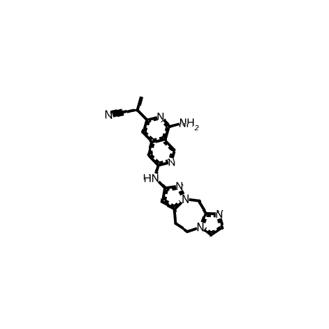 CC(C#N)c1cc2cc(Nc3cc4n(n3)Cc3nccn3CC4)ncc2c(N)n1